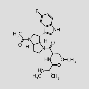 CN[C@@H](C)C(=O)N[C@@H](COC)C(=O)N1CC[C@@H]2[C@H]1[C@@H](c1c[nH]c3ccc(F)cc13)CN2C(C)=O